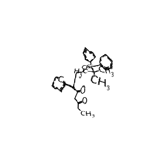 CCC(=O)CC(=O)C(CCO[Si](c1ccccc1)(c1ccccc1)C(C)(C)C)c1ccccc1